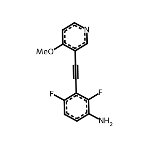 COc1ccncc1C#Cc1c(F)ccc(N)c1F